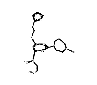 CC(=O)N1CCCN(c2nc(NCCc3cccs3)nc(N(C)CC(=O)O)n2)CC1